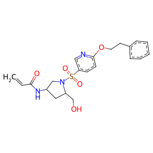 C=CC(=O)NC1CC(CO)N(S(=O)(=O)c2ccc(OCCc3ccccc3)nc2)C1